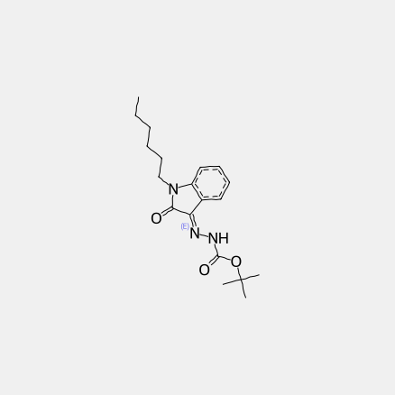 CCCCCCN1C(=O)/C(=N/NC(=O)OC(C)(C)C)c2ccccc21